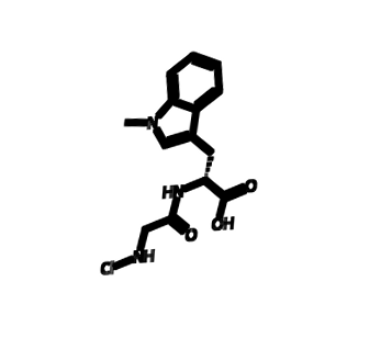 Cn1cc(C[C@@H](NC(=O)CNCl)C(=O)O)c2ccccc21